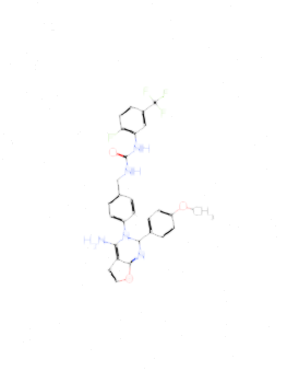 COc1ccc(C2N=c3occc3=C(N)N2c2ccc(CNC(=O)Nc3cc(C(F)(F)F)ccc3F)cc2)cc1